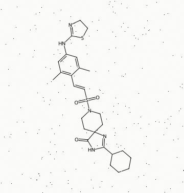 Cc1cc(NC2=NCCS2)cc(C)c1C=CS(=O)(=O)N1CCC2(CC1)N=C(C1CCCCC1)NC2=O